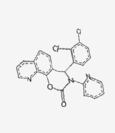 O=C1Oc2c(ccc3cccnc23)C(c2cccc(Cl)c2Cl)N1c1ccccn1